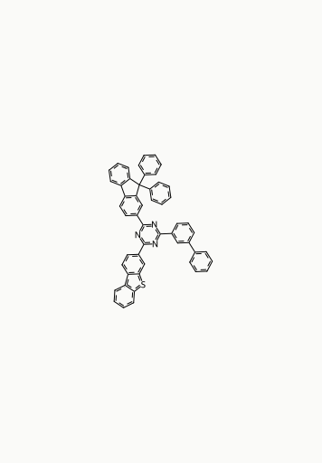 c1ccc(-c2cccc(-c3nc(-c4ccc5c(c4)C(c4ccccc4)(c4ccccc4)c4ccccc4-5)nc(-c4ccc5c(c4)sc4ccccc45)n3)c2)cc1